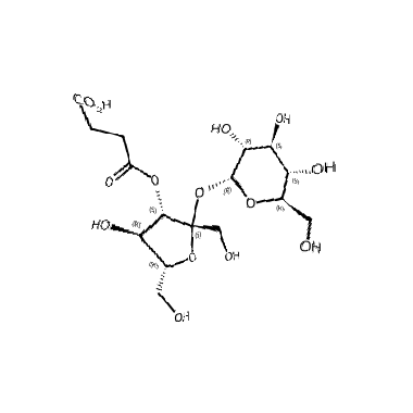 O=C(O)CCC(=O)O[C@H]1[C@H](O)[C@@H](CO)O[C@@]1(CO)O[C@H]1O[C@H](CO)[C@@H](O)[C@H](O)[C@H]1O